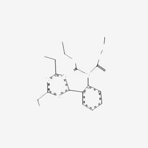 CCOC(=O)N(C(=O)OCC)c1ccccc1-c1nc(CCl)nc(CCl)n1